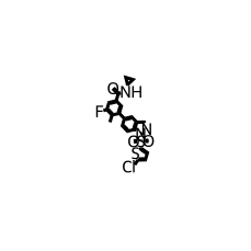 Cc1c(F)cc(C(=O)NC2CC2)cc1-c1ccc2c(cnn2S(=O)(=O)c2ccc(Cl)s2)c1